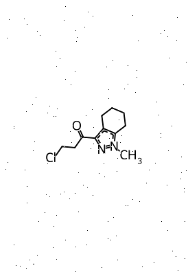 Cn1nc(C(=O)CCCl)c2c1CCCC2